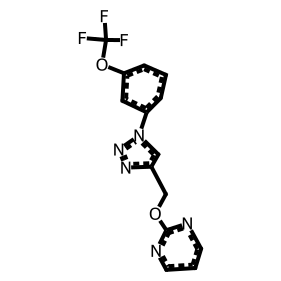 FC(F)(F)Oc1cccc(-n2cc(COc3ncccn3)nn2)c1